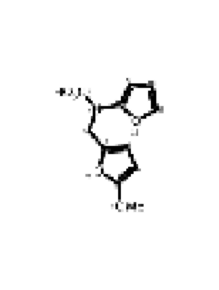 COc1ccc(CN(C(=O)O)c2ccco2)o1